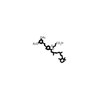 CC(=O)Oc1cc(/C=C/c2ccc(C(\C=C(C)/C=C/C=C(C)\C=C\C3=C(C)CCCC3(C)C)OC(=O)CCC(=O)O)cc2)cc(OC(C)=O)c1